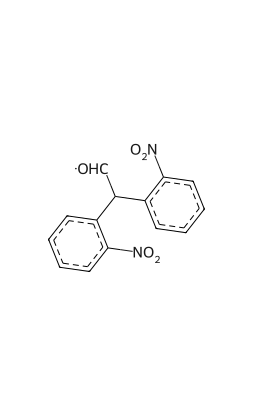 O=[C]C(c1ccccc1[N+](=O)[O-])c1ccccc1[N+](=O)[O-]